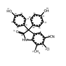 Cc1c(Cl)c(C#N)cc2c1NC(=O)C2(c1ccc(O)cc1)c1ccc(O)cc1